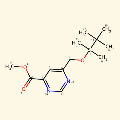 COC(=O)c1cc(CO[Si](C)(C)C(C)(C)C)ncn1